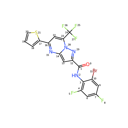 O=C(Nc1c(F)cc(F)cc1Br)c1cc2nc(-c3cccs3)cc(C(F)(F)F)n2n1